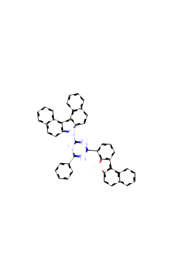 c1ccc(-c2nc(-c3cccc4c3oc3ccc5ccccc5c34)nc(-n3c4ccc5ccccc5c4c4c5ccccc5ccc43)n2)cc1